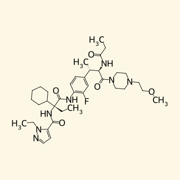 CCC(=O)N[C@@H](C(=O)N1CCN(CCOC)CC1)[C@@H](C)c1ccc(NC(=O)[C@](CC)(NC(=O)c2ccnn2CC)C2CCCCC2)c(F)c1